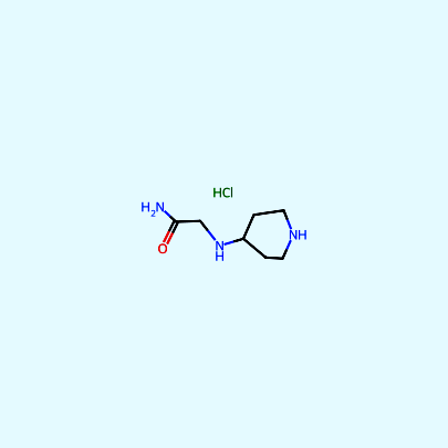 Cl.NC(=O)CNC1CCNCC1